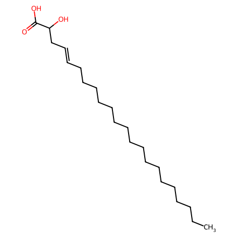 CCCCCCCCCCCCCCCCC/C=C/CC(O)C(=O)O